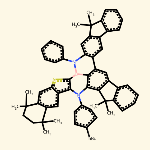 CCCCc1ccc(N2c3c4c(cc5c3C(C)(C)c3ccccc3-5)-c3cc5c(cc3N(c3ccccc3)B4c3sc4cc6c(cc4c32)C(C)(C)CCC6(C)C)C(C)(C)c2ccccc2-5)cc1